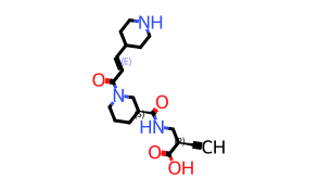 C#C[C@H](CNC(=O)[C@H]1CCCN(C(=O)/C=C/C2CCNCC2)C1)C(=O)O